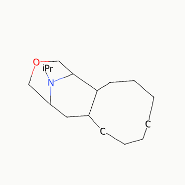 CC(C)N1C2COCC1C1CCCCCCCC1C2